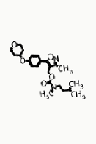 Cc1noc(-c2ccc(OC3CCOCC3)cc2)c1COC(=O)N(C)CCC(C)C